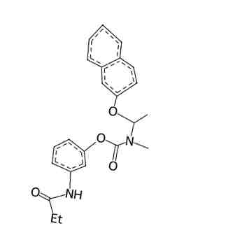 CCC(=O)Nc1cccc(OC(=O)N(C)C(C)Oc2ccc3ccccc3c2)c1